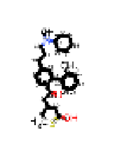 CCC(CC(=O)c1ccc(CCCN(C)C2CCCCC2)cc1-c1ccccc1C)CC(O)=S